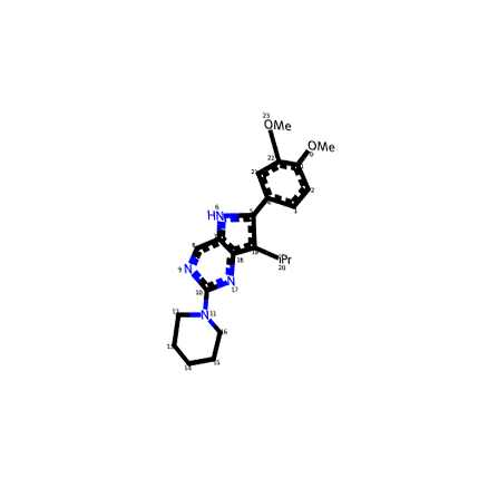 COc1ccc(-c2[nH]c3cnc(N4CCCCC4)nc3c2C(C)C)cc1OC